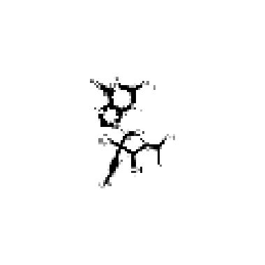 C[C@H](O)[C@H]1O[C@@H](n2cnc3c(=O)[nH]c(N)nc32)C(N)(C#CCl)C1O